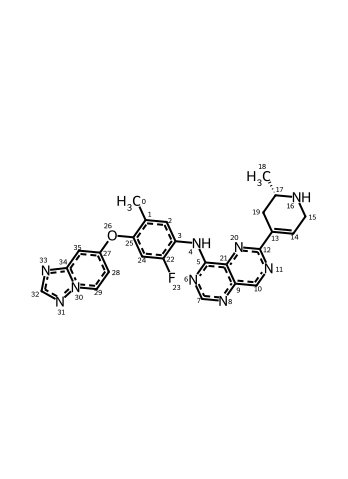 Cc1cc(Nc2ncnc3cnc(C4=CCN[C@@H](C)C4)nc23)c(F)cc1Oc1ccn2ncnc2c1